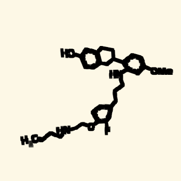 C=CCCNCCOc1ccc(CCCNc2cc(OC)ccc2C2CCc3cc(O)ccc3C2)cc1F